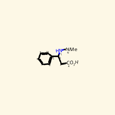 CNNC(CC(=O)O)c1ccccc1